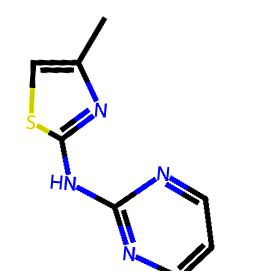 Cc1csc(Nc2n[c]ccn2)n1